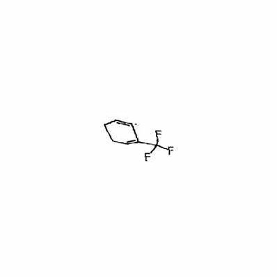 FC(F)(F)C1=CCCC=[C]1